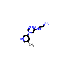 C[C@H]1CNCC(N(C=N)CC(=N)NCCN)C1